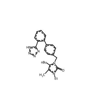 CCCCc1c(C)n(CC)c(=O)n1Cc1ccc(-c2ccccc2-c2nnn[nH]2)cc1